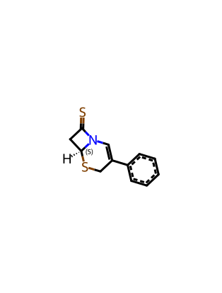 S=C1C[C@@H]2SCC(c3ccccc3)=CN12